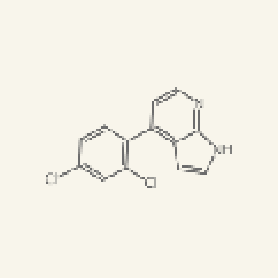 Clc1ccc(-c2ccnc3[nH]ccc23)c(Cl)c1